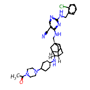 CC(=O)N1CCN(C2CCC(N[C@@H]3[C@@H]4CC5C[C@H]3C[C@@](CNc3nc(NCc6ccccc6Cl)ncc3C#N)(C5)C4)CC2)CC1